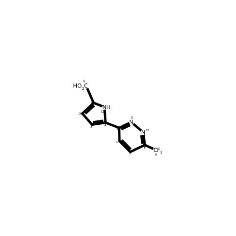 O=C(O)c1ccc(-c2ccc(C(F)(F)F)nn2)[nH]1